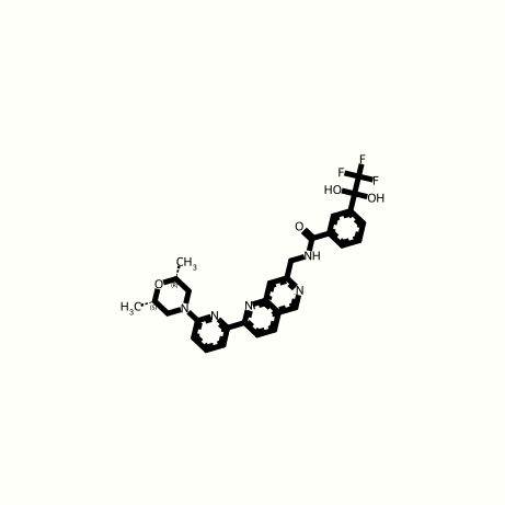 C[C@@H]1CN(c2cccc(-c3ccc4cnc(CNC(=O)c5cccc(C(O)(O)C(F)(F)F)c5)cc4n3)n2)C[C@H](C)O1